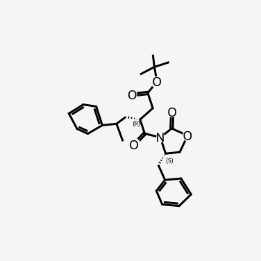 CC(C[C@H](CC(=O)OC(C)(C)C)C(=O)N1C(=O)OC[C@@H]1Cc1ccccc1)c1ccccc1